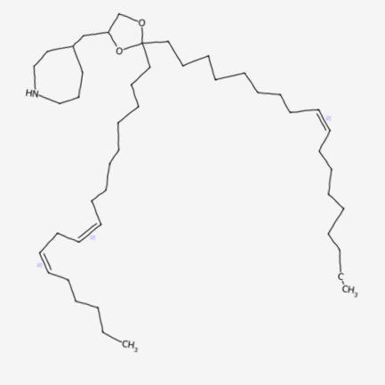 CCCCC/C=C\C/C=C\CCCCCCCCC1(CCCCCCCC/C=C\CCCCCCCC)OCC(CC2CCCNCC2)O1